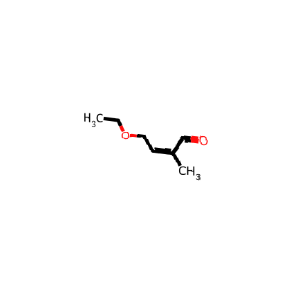 CCOCC=C(C)C=O